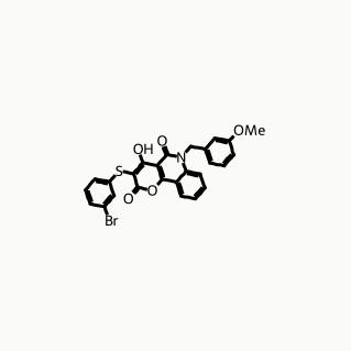 COc1cccc(Cn2c(=O)c3c(O)c(Sc4cccc(Br)c4)c(=O)oc3c3ccccc32)c1